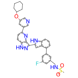 CS(=O)(=O)NCc1cc(F)cc(-c2cccc3[nH]c(-c4n[nH]c5ccc(-c6cncc(OC7CCCCC7)c6)nc45)cc23)c1